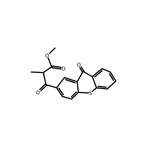 COC(=O)C(C)C(=O)c1ccc2sc3ccccc3c(=O)c2c1